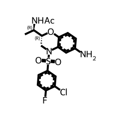 CC(=O)N[C@H](C)[C@H]1CN(S(=O)(=O)c2ccc(F)c(Cl)c2)c2cc(N)ccc2O1